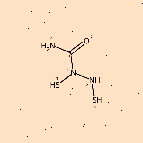 NC(=O)N(S)NS